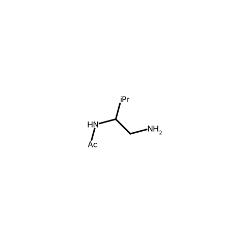 CC(=O)NC(CN)C(C)C